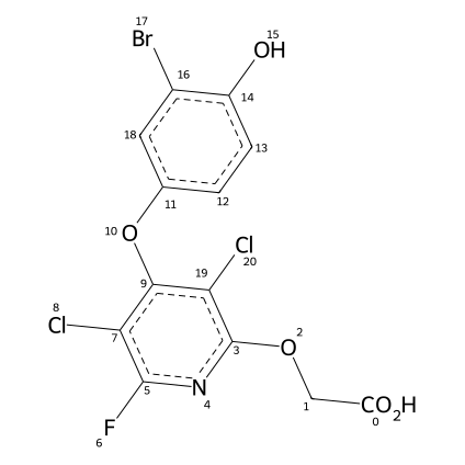 O=C(O)COc1nc(F)c(Cl)c(Oc2ccc(O)c(Br)c2)c1Cl